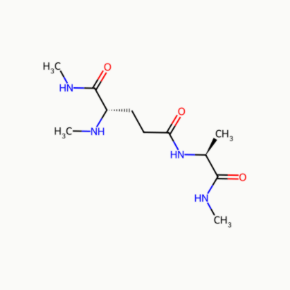 CNC(=O)[C@H](C)NC(=O)CC[C@H](NC)C(=O)NC